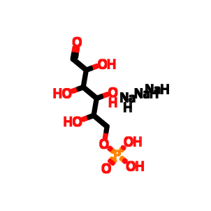 O=CC(O)C(O)C(O)C(O)COP(=O)(O)O.[NaH].[NaH].[NaH]